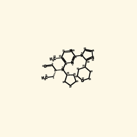 CC[C@H](C=O)N(c1nc(-n2ccnc2C2CCOCC2)ncc1C)C1CCCC1